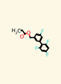 C=CC(=O)OCc1cc(F)cc(-c2c(F)cc(F)cc2F)c1